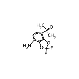 CP(C)(=O)c1ccc(N)c2c1OC(F)(F)O2